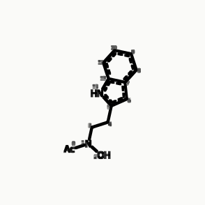 CC(=O)N(O)CCc1cc2ccccc2[nH]1